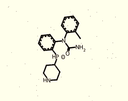 Cc1ccccc1N(C(N)=O)c1ccccc1[PH](=O)C1CCNCC1